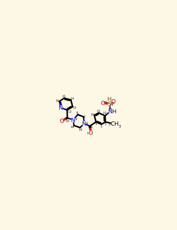 Cc1cc(C(=O)N2CCN(C(=O)c3ccccn3)CC2)ccc1N[SH](=O)=O